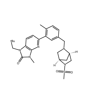 Cc1ccc(CN2C[C@H]3C[C@@H]2CN3S(C)(=O)=O)cc1-c1ccc2c(n1)n(C)c(=O)n2CC(C)(C)C